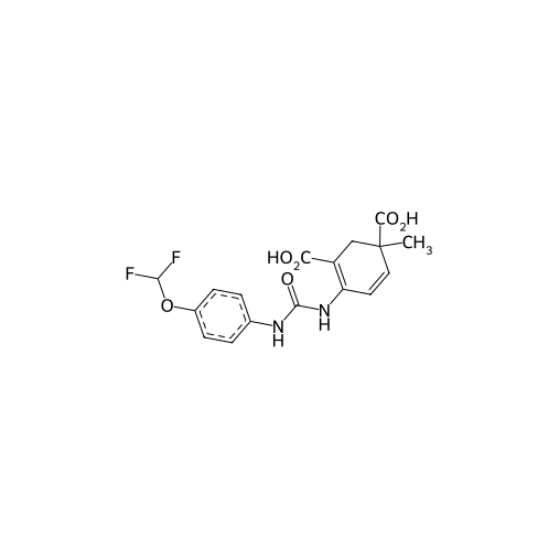 CC1(C(=O)O)C=CC(NC(=O)Nc2ccc(OC(F)F)cc2)=C(C(=O)O)C1